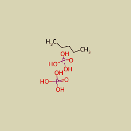 CCCCC.O=P(O)(O)O.O=P(O)(O)O